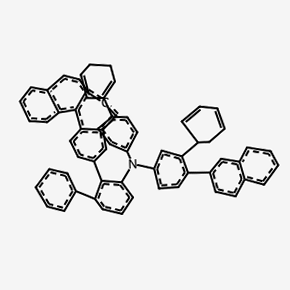 C1=CCC(c2cc(N(c3ccc(C4=CCCC=C4)cc3)c3cccc(-c4ccccc4)c3-c3ccc4c(ccc5ccc6ccccc6c54)c3)ccc2-c2ccc3ccccc3c2)C=C1